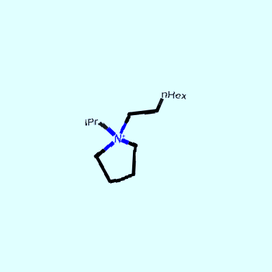 CCCCCCCC[N+]1(C(C)C)CCCC1